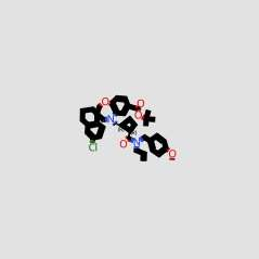 C=CCN(Cc1ccc(OC)cc1)C(=O)[C@@H]1CC[C@H]1CN1CC2(CCCc3cc(Cl)ccc32)COc2ccc(C(=O)OC(C)(C)C)cc21